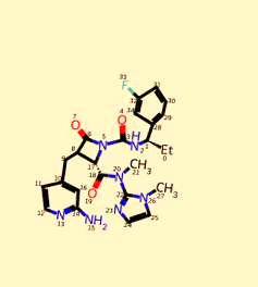 CC[C@@H](NC(=O)N1C(=O)C(Cc2ccnc(N)c2)[C@H]1C(=O)N(C)c1nccn1C)c1cccc(F)c1